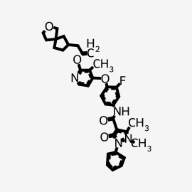 C=C(CC1CCC2(CCOC2)C1)Oc1nccc(Oc2ccc(NC(=O)c3c(C)n(C)n(-c4ccccc4)c3=O)cc2F)c1C